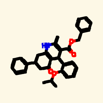 CC1=C(C(=O)OCc2ccccc2)C(c2ccccc2OC(C)C)C2=C(CC(c3ccccc3)CC2=O)N1